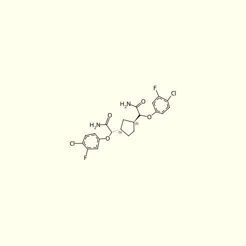 NC(=O)C(Oc1ccc(Cl)c(F)c1)[C@H]1CC[C@H](C(Oc2ccc(Cl)c(F)c2)C(N)=O)C1